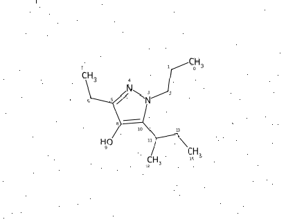 CCCn1nc(CC)c(O)c1C(C)CC